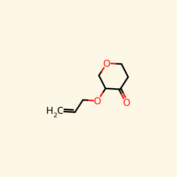 C=CCOC1COCCC1=O